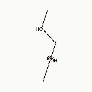 CCCCCCCCCCCCCCCCCCCCCCCC[C@@H](C(=O)O)[C@@H](CCCCCCCCCCCCCCC[C@@H]1C[C@@H]1CCCCCCCCCCCCCCCCCC[C@H](O)[C@@H](C)CCCCCCCCCCCCCCCCCC)O[Si](C)(C)C(C)(C)C